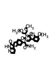 COCC(COC)n1c(=O)c(-c2cccc(OC)c2Cl)cn(C(C(N)=O)c2ccc3c(c2)C[C@@]2(C3)C(=O)Nc3ncccc32)c1=O